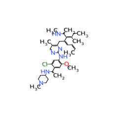 C=C(NC)C(/C(=C\C=C/C)Cc1nc(Nc2cc(Cl)c(C(=C)NC3CCN(C)CC3)cc2OC)ncc1C)=C(/C)CC